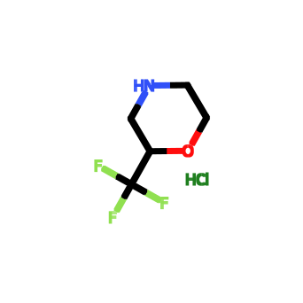 Cl.FC(F)(F)C1CNCCO1